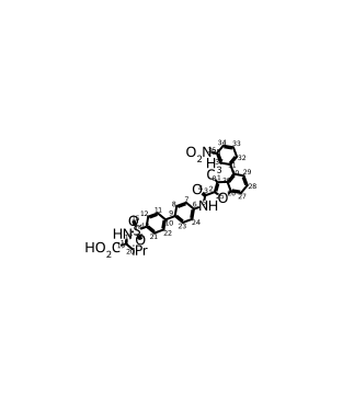 Cc1c(C(=O)Nc2ccc(-c3ccc(S(=O)(=O)N[C@H](C(=O)O)C(C)C)cc3)cc2)oc2cccc(-c3cccc([N+](=O)[O-])c3)c12